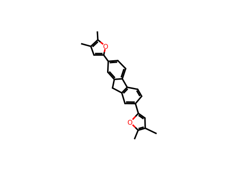 Cc1cc(-c2ccc3c(c2)Cc2cc(-c4cc(C)c(C)o4)ccc2-3)oc1C